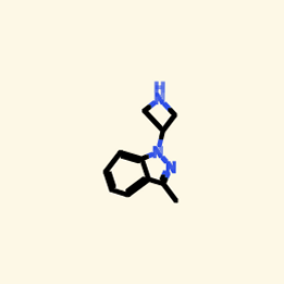 Cc1nn(C2CNC2)c2ccccc12